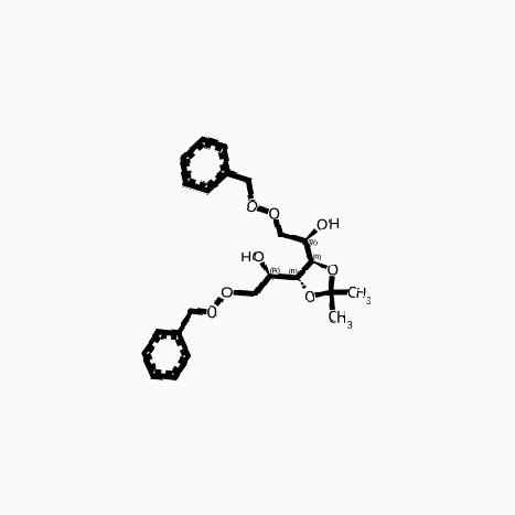 CC1(C)O[C@H]([C@H](O)COOCc2ccccc2)[C@@H]([C@H](O)COOCc2ccccc2)O1